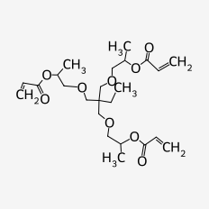 C=CC(=O)OC(C)COCC(CC)(COCC(C)OC(=O)C=C)COCC(C)OC(=O)C=C